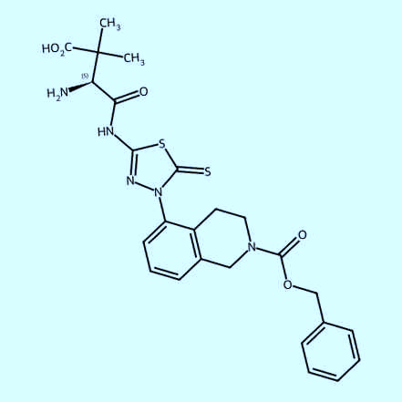 CC(C)(C(=O)O)[C@H](N)C(=O)Nc1nn(-c2cccc3c2CCN(C(=O)OCc2ccccc2)C3)c(=S)s1